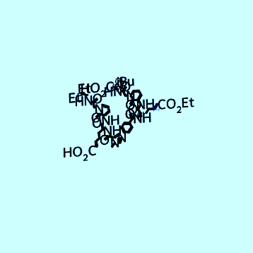 CCC(CC)CNC(=O)Cn1cccc(NC(=O)C(CCC=CC(=O)O)NC(=O)c2cncn2C)c1=O.CCOC(=O)/C=C/CC[C@H](NC(=O)c1ccccc1)C(=O)Nc1cccn(CC(=O)N[C@H](C(=O)O)[C@H](C)CC)c1=O